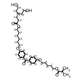 C=C(C)C(=O)OCCCCCOc1ccc(C(=O)c2ccc(OCCCCCCOC(=O)CCN(CCO)CCO)cc2)cc1